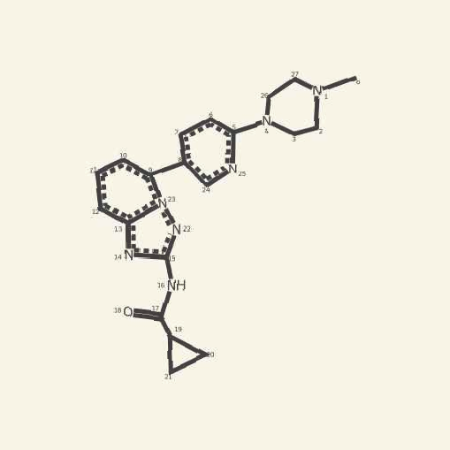 CN1CCN(c2ccc(-c3cccc4nc(NC(=O)C5CC5)nn34)cn2)CC1